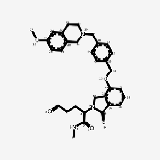 CNC(=O)C(CCC=O)N1Cc2c(OCc3ccc(CN4CCc5cc(OC)ccc5C4)cc3)cccc2C1=O